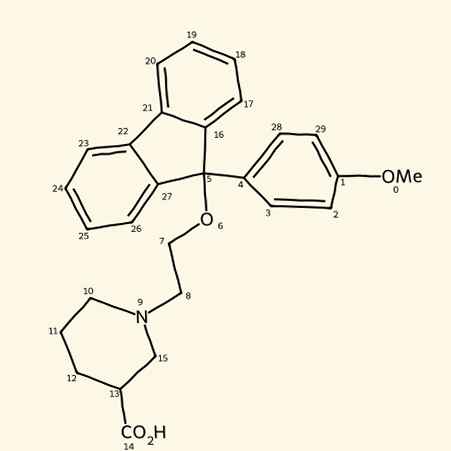 COc1ccc(C2(OCCN3CCCC(C(=O)O)C3)c3ccccc3-c3ccccc32)cc1